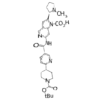 CN1CCC[C@@H]1c1cc2cnc(NC(=O)c3ccc(C4CCN(C(=O)OC(C)(C)C)CC4)nc3)cc2n1C(=O)O